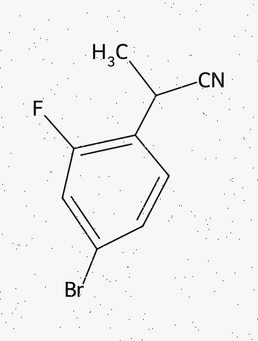 CC(C#N)c1ccc(Br)cc1F